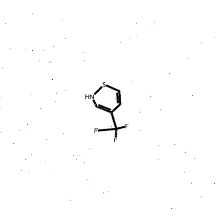 FC(F)(F)C1=CNSC=C1